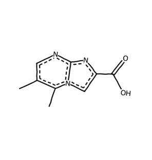 Cc1cnc2nc(C(=O)O)cn2c1C